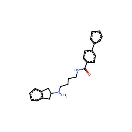 CN(CCCCNC(=O)c1ccc(-c2ccccc2)cc1)C1Cc2ccccc2C1